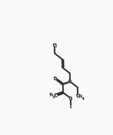 C=C(OI)C(=O)N(CC)C/C=C/CCl